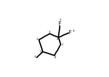 C[C]1CCC(F)(F)CC1